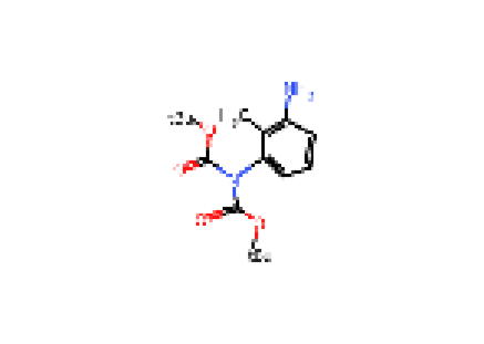 Cc1c(N)cccc1N(C(=O)OC(C)(C)C)C(=O)OC(C)(C)C